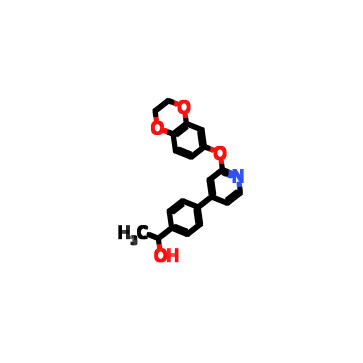 CC(O)c1ccc(-c2ccnc(Oc3ccc4c(c3)OCCO4)c2)cc1